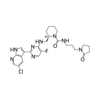 O=C1CCCN1CCCNC(=O)N1CCCC[C@@H]1CNc1nc(-c2c[nH]c3ncc(Cl)cc23)ncc1F